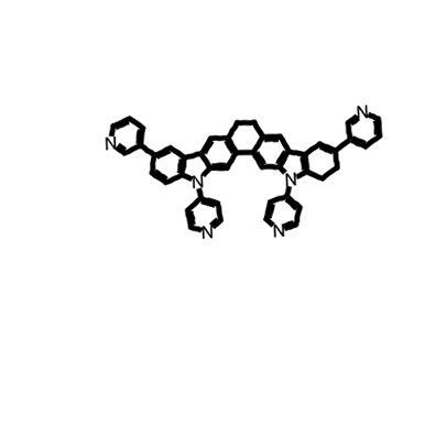 C1=C(c2cccnc2)CCc2c1c1cc3c(cc1n2-c1ccncc1)-c1cc2c(cc1CC3)c1cc(-c3cccnc3)ccc1n2-c1ccncc1